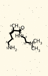 CC(=CCCN)C(=O)NCCN(C)C